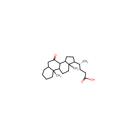 C[C@H](CCC(=O)O)C1CCC2C3C(=O)CC4CCCCC4(C)C3CCC21C